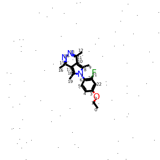 CCOc1ccc(-n2c(C)c3c(C)nnc(C)c3c2C)c(F)c1